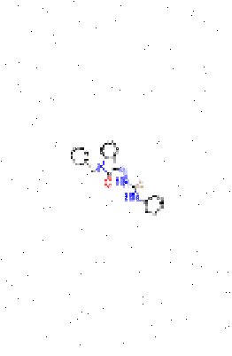 O=C1/C(=N\NC(=S)Nc2ccccc2)c2ccccc2N1Cc1ccccc1